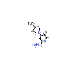 NCc1cc(N2CCC(C(F)(F)F)CC2)c(F)cn1